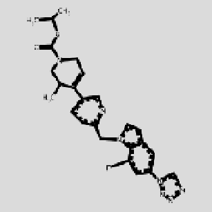 CC(C)OC(=O)N1CC=C(c2ccc(Cn3ccc4cc(-n5cnnn5)cc(F)c43)nc2)C(C)C1